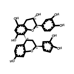 Oc1ccc2c(c1)O[C@H](c1ccc(O)c(O)c1)C[C@H]2c1c(O)cc(O)c2c1O[C@H](c1ccc(O)c(O)c1)[C@@H](O)C2